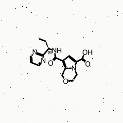 CC[C@@H](NC(=O)c1cc(C(=O)O)n2c1COCC2)c1ncccn1